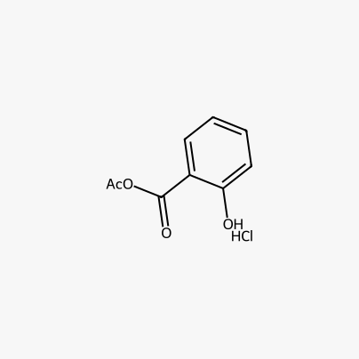 CC(=O)OC(=O)c1ccccc1O.Cl